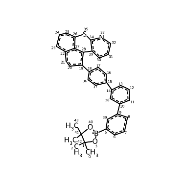 CC1(C)OB(c2cccc(-c3cccc(-c4ccc(-c5ccc6cccc7c6c5-c5cccnc5S7)cc4)c3)c2)OC1(C)C